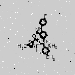 Cc1ccc([C@@H](Oc2ccc3c(cnn3-c3ccc(F)cc3)c2)[C@H](C)NC(=O)c2ncc(C)s2)c(C)c1